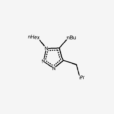 CCCCCCn1nnc(CC(C)C)c1CCCC